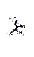 C/C=C/C(C#N)=C(/C)SC